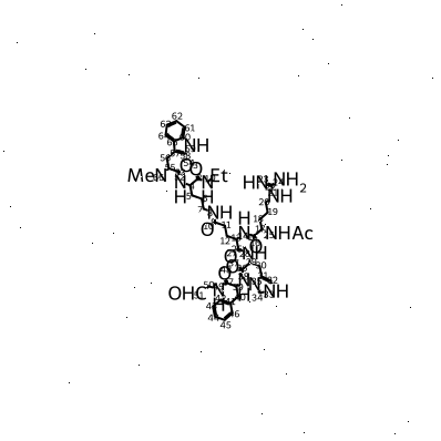 CCNC(=O)C(CCCNC(=O)CCC(NC(=O)[C@H](CCCNC(=N)N)NC(C)=O)C(=O)N[C@@H](Cc1c[nH]cn1)C(=O)NC(Cc1ccccc1)C(=O)NCC=O)NC(=O)[C@H](Cc1c[nH]c2ccccc12)NC